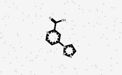 O=C(O)c1cc(-n2ccnn2)ccn1